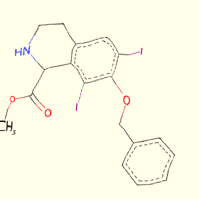 COC(=O)C1NCCc2cc(I)c(OCc3ccccc3)c(I)c21